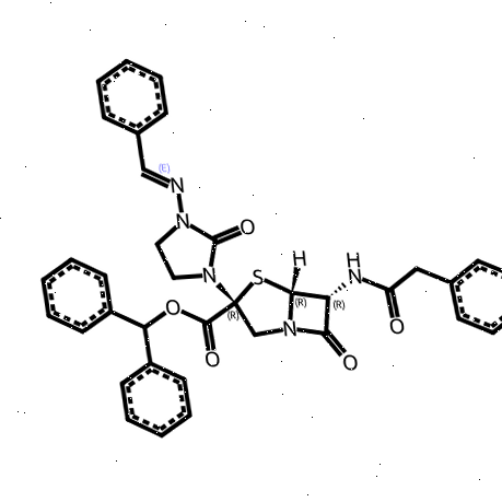 O=C(Cc1ccccc1)N[C@@H]1C(=O)N2C[C@@](C(=O)OC(c3ccccc3)c3ccccc3)(N3CCN(/N=C/c4ccccc4)C3=O)S[C@H]12